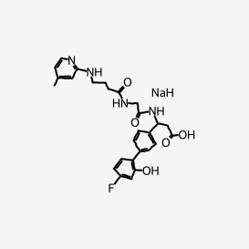 Cc1ccnc(NCCCC(=O)NCC(=O)NC(CC(=O)O)c2ccc(-c3ccc(F)cc3O)cc2)c1.[NaH]